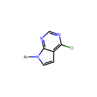 CC(=O)n1ccc2c(Cl)ncnc21